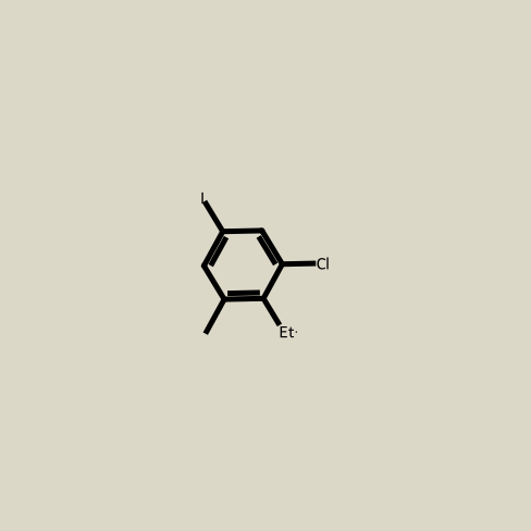 C[CH]c1c(C)cc(I)cc1Cl